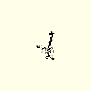 CCOC(=O)[C@H](C)NP(=O)(CCCCCCC(C)(C)C)N[C@@H](C)C(=O)OCC